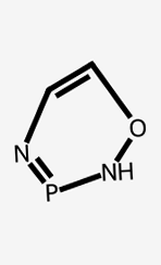 C1=CONP=N1